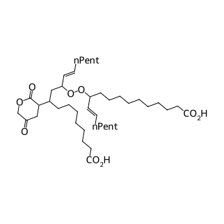 CCCCC/C=C/C(CCCCCCCCCC(=O)O)OOC(/C=C/CCCCC)CC(CCCCCCCC(=O)O)C1CC(=O)COC1=O